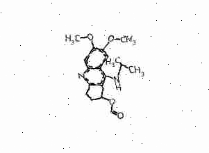 COc1cc2nc3c(c(NC(C)C)c2cc1OC)C(OC=O)CC3